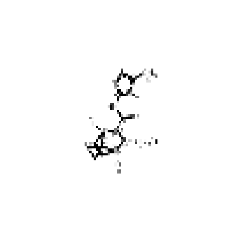 CCOC(=O)[C@H]1[C@H](C(=O)Nc2ncc(C)s2)[C@@H]2C=C[C@H]1C21CC1